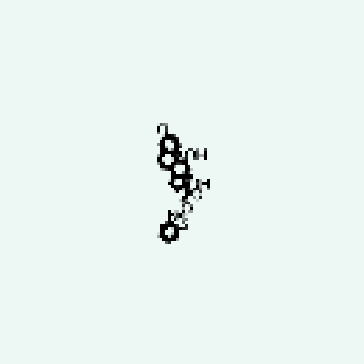 CC12C=CC(=O)C=C1CCC1C2[C@@H](O)CC2(C)C1CC[C@]2(O)C(=O)COc1nc2ccccc2s1